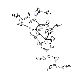 CNC(=O)OC(OC)C1=CN2C(=O)C(NC(=O)/C(=N\O)c3csc(N)n3)(C(=O)[O-])[C@@H]2SC1.[Na+]